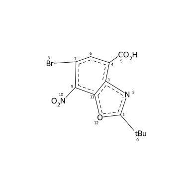 CC(C)(C)c1nc2c(C(=O)O)cc(Br)c([N+](=O)[O-])c2o1